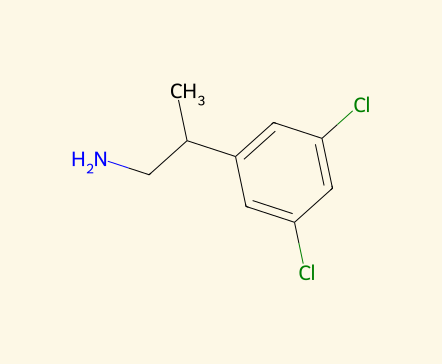 CC(CN)c1cc(Cl)cc(Cl)c1